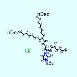 CCCCCCCCCCCCCCCCCCC(CCCCCCCCCCCCCCCCCC)CCCCC(CCC(C)CCCC(C)C)[n+]1ccn(CCCC)c1C.[Cl-]